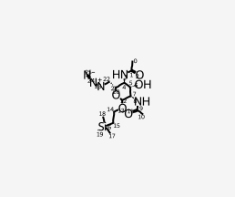 CC(=O)N[C@H]1[C@H](O)[C@H](NC(C)=O)C(OCC[Si](C)(C)C)O[C@@H]1CN=[N+]=[N-]